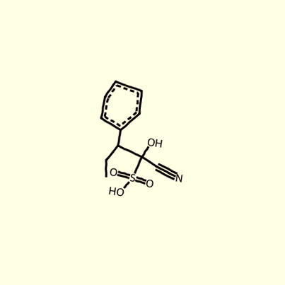 CCC(c1ccccc1)C(O)(C#N)S(=O)(=O)O